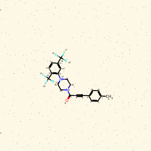 Cc1ccc(C#CC(=O)N2CCN(c3cc(C(F)(F)F)ccc3C(F)(F)F)CC2)cc1